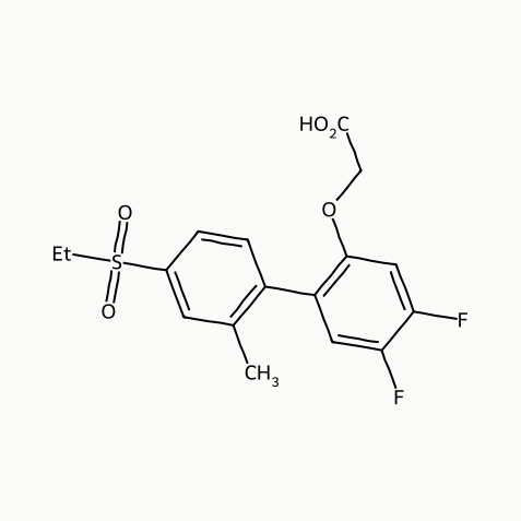 CCS(=O)(=O)c1ccc(-c2cc(F)c(F)cc2OCC(=O)O)c(C)c1